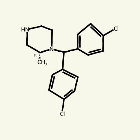 C[C@@H]1CNCCN1C(c1ccc(Cl)cc1)c1ccc(Cl)cc1